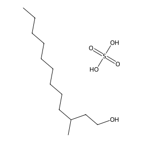 CCCCCCCCCC(C)CCO.O=S(=O)(O)O